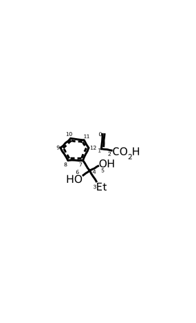 C=CC(=O)O.CCC(O)(O)c1ccccc1